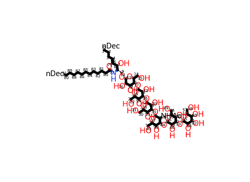 CCCCCCCCCCCCC/C=C/[C@@H](O)[C@H](CO[C@@H]1OC(CO)[C@@H](O[C@@H]2OC(CO)[C@H](O)[C@H](O[C@H]3OC(CO)[C@H](O)[C@H](O[C@@H]4OC(CO)[C@H](O)[C@H](O[C@@H]5OC(CO)[C@H](O)[C@H](O[C@H]6OC(CO)[C@H](O)[C@H](O)C6O)C5O)C4NC(C)=O)C3O)C2O)[C@H](O)C1O)NC(=O)CCCCCCCCCCCCCCCCCCCCC